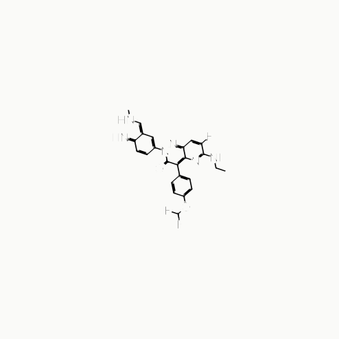 CCNc1nc2c(-c3ccc(OC(F)F)cc3)c(=O)n(C3=C/C(=C/NC)C(=N)C=C3)nc2cc1F